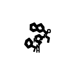 CCN(C(=O)c1ccc2ccccc2c1)c1ccnc(N[C@@H](C)c2ccccc2)c1